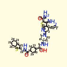 CCCc1cc(N2CCC(NCC(O)c3ccc(C(=O)NCc4cc5ccccc5s4)cc3)CC2)nc2sc(C(N)=O)c(N)c12